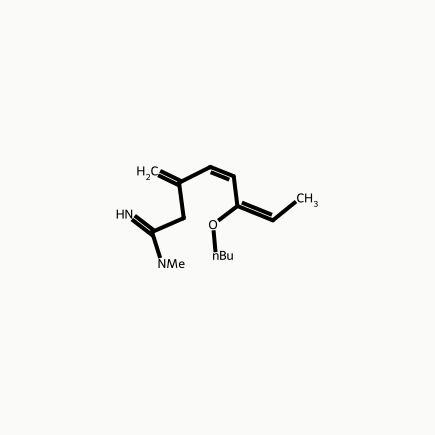 C=C(/C=C\C(=C/C)OCCCC)CC(=N)NC